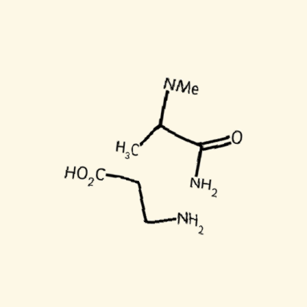 CNC(C)C(N)=O.NCCC(=O)O